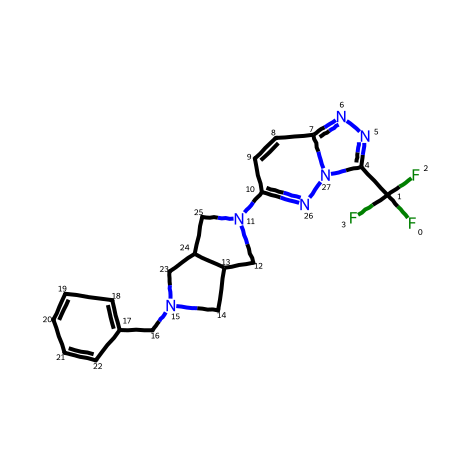 FC(F)(F)c1nnc2ccc(N3CC4CN(Cc5ccccc5)CC4C3)nn12